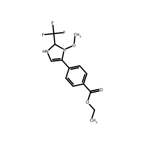 CCOC(=O)c1ccc(C2=CNC(C(F)(F)F)N2OC)cc1